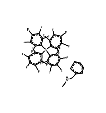 C[NH2+]Cc1ccccc1.Fc1c(F)c(F)c([B-](c2c(F)c(F)c(F)c(F)c2F)(c2c(F)c(F)c(F)c(F)c2F)c2c(F)c(F)c(F)c(F)c2F)c(F)c1F